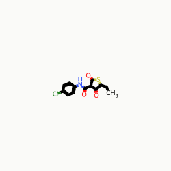 CCC1SC(=O)C(C(=O)Nc2ccc(Cl)cc2)C1=O